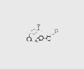 Cc1c(NCC2CCC2)ncnc1-c1ccc2nc(Nc3cc(CN4CCN(C(=O)C5CC5)CC4)ccn3)[nH]c2c1